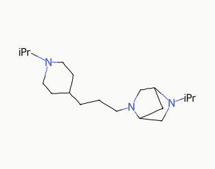 CC(C)N1CCC(CCCN2CC3CC2CN3C(C)C)CC1